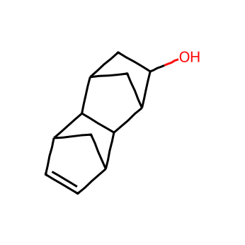 OC1CC2CC1C1C3C=CC(C3)C21